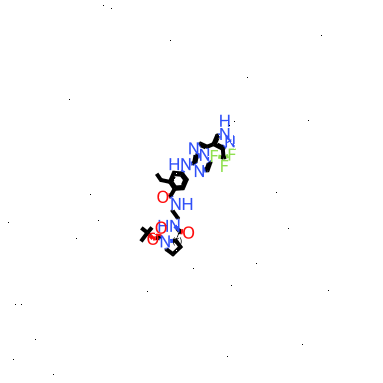 CCc1cc(Nc2nccn3c(-c4c[nH]nc4C(F)(F)F)cnc23)ccc1C(=O)NCCNC(=O)[C@@H]1CCCN1C(=O)OC(C)(C)C